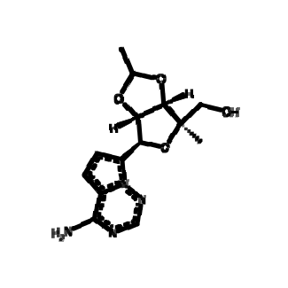 CC1O[C@H]2[C@H](c3ccc4c(N)ncnn34)O[C@](C)(CO)[C@H]2O1